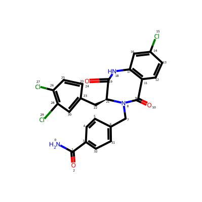 NC(=O)c1ccc(CN2C(=O)c3ccc(Cl)cc3NC(=O)[C@@H]2Cc2ccc(Cl)c(Cl)c2)cc1